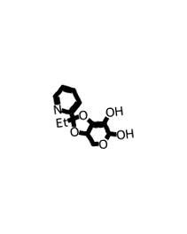 CCC1(c2ccccn2)OC2=C(O)C(O)OCC2O1